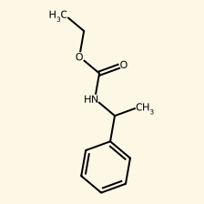 CCOC(=O)NC(C)c1ccccc1